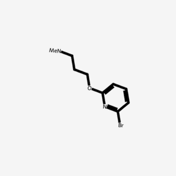 CNCCCOc1cccc(Br)n1